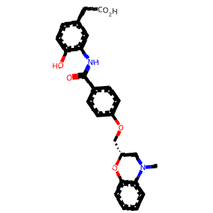 CN1C[C@@H](COc2ccc(C(=O)Nc3cc(CC(=O)O)ccc3O)cc2)Oc2ccccc21